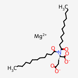 CCCCCCCCCCCC(=O)N(C(=O)CCCCCCCCCCC)[C@@H](CCC(=O)[O-])C(=O)[O-].[Mg+2]